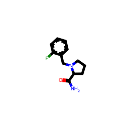 NC(=O)C1CCCN1Cc1ccccc1F